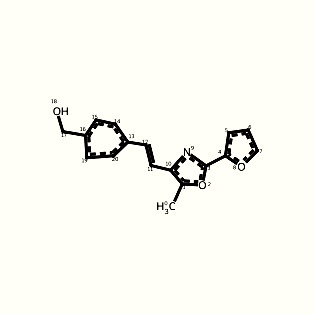 Cc1oc(-c2ccco2)nc1/C=C/c1ccc(CO)cc1